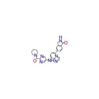 O=C1NCc2cc(-c3ccc(Nc4cnc(C(=O)N5CCCCC5)nc4)c4nccn34)ccc21